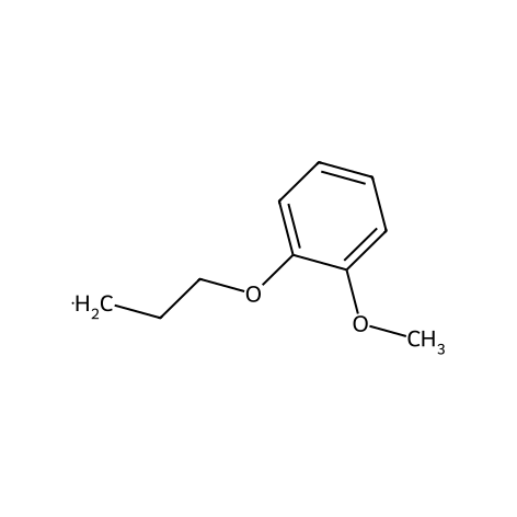 [CH2]CCOc1ccccc1OC